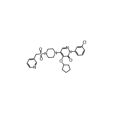 O=c1c(OC2CCCC2)c(N2CCN(S(=O)(=O)Cc3cccnc3)CC2)cnn1-c1cccc(Cl)c1